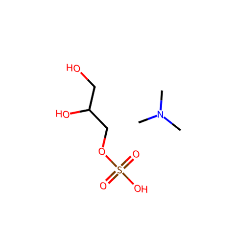 CN(C)C.O=S(=O)(O)OCC(O)CO